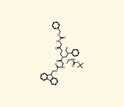 CCC(CN(CCC(=O)CNC(=O)OCc1ccccc1)C(=O)[C@H](CCNC(=O)OC(C)(C)C)NC(=O)OCC1c2ccccc2-c2ccccc21)c1ccccc1